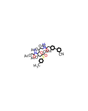 COC(=O)[C@@]1(Sc2ccc(C)cc2)C[C@H](OC(C)=O)[C@@H](NC(=O)COC(C)=O)[C@H]([C@H](OC(C)=O)[C@@H](CNC(=O)Cc2ccc(-c3cccc(C#N)c3)cc2)OC(C)=O)O1